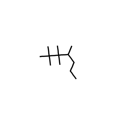 CCCC(C)C(C)(C)C(C)(C)C